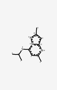 Cc1cc(SC(C)C)n2nc(C)cc2n1